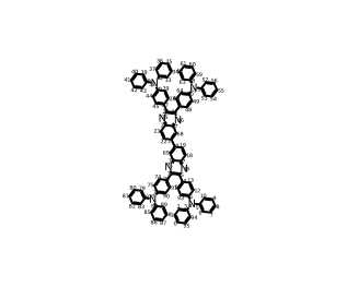 c1ccc(N(c2ccccc2)c2ccc(-c3nc4ccc(-c5ccc6nc(-c7ccc(N(c8ccccc8)c8ccccc8)cc7)c(-c7ccc(N(c8ccccc8)c8ccccc8)cc7)nc6c5)cc4nc3-c3ccc(N(c4ccccc4)c4ccccc4)cc3)cc2)cc1